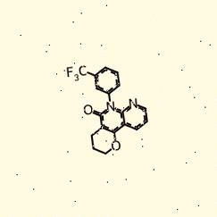 O=c1c2c(c3cccnc3n1-c1cccc(C(F)(F)F)c1)OCCC2